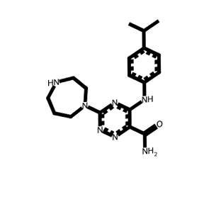 CC(C)c1ccc(Nc2nc(N3CCCNCC3)nnc2C(N)=O)cc1